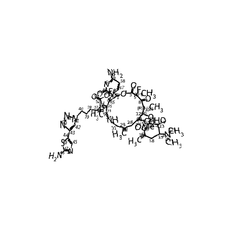 CC[C@H]1OC(=O)[C@@](C)(F)C(=O)[C@H](C)[C@@H](O[C@@H]2O[C@H](C)CC(N(C)C)C2O)[C@](C)(OC)C[C@@H](C)CN[C@H](C)[C@H]2N(CCCCn3cc(-c4cnc(N)s4)nn3)C(=O)O[C@]12n1ccc(N)nc1=O